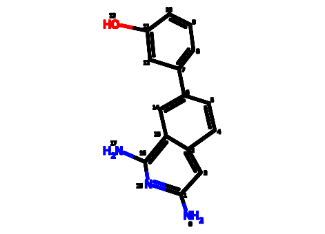 Nc1cc2ccc(-c3cccc(O)c3)cc2c(N)n1